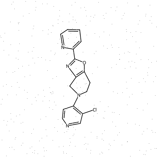 Clc1cnccc1N1CCc2oc(-c3ccccn3)nc2C1